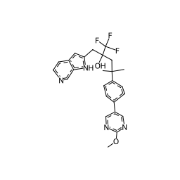 COc1ncc(-c2ccc(C(C)(C)CC(O)(Cc3cc4ccncc4[nH]3)C(F)(F)F)cc2)cn1